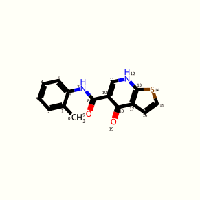 Cc1ccccc1NC(=O)c1c[nH]c2sccc2c1=O